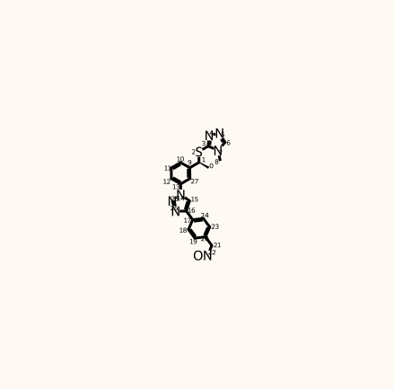 C[C@H](Sc1nncn1C)c1cccc(-n2cc(-c3ccc(CN=O)cc3)nn2)c1